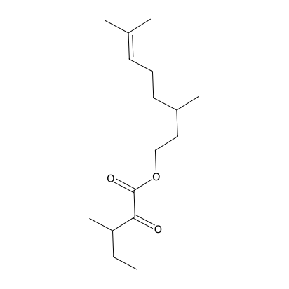 CCC(C)C(=O)C(=O)OCCC(C)CCC=C(C)C